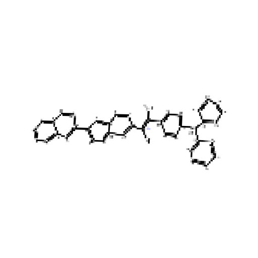 [2H]/C(=C(/[2H])c1ccc2cc(-c3ccc4ccccc4c3)ccc2c1)c1ccc(N(c2ccccc2)c2ccccc2)cc1